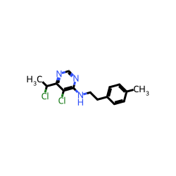 Cc1ccc(CCNc2ncnc(C(C)Cl)c2Cl)cc1